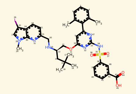 Cc1cccc(C)c1-c1cc(OC[C@@H](CC(C)(C)C)NCc2ccc3c(I)cn(C)c3n2)nc(NS(=O)(=O)c2cccc(C(=O)O)c2)n1